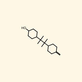 C=C1CCC(C(C)(C)C(C)(C)C2CCC(O)CC2)CC1